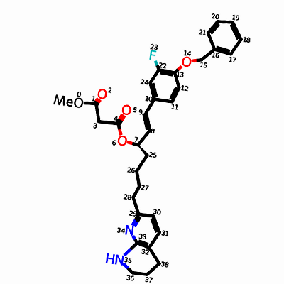 COC(=O)CC(=O)O[C@@H](/C=C/c1ccc(OCc2ccccc2)c(F)c1)CCCCc1ccc2c(n1)NCCC2